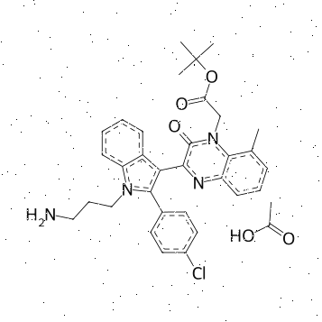 CC(=O)O.Cc1cccc2nc(-c3c(-c4ccc(Cl)cc4)n(CCCN)c4ccccc34)c(=O)n(CC(=O)OC(C)(C)C)c12